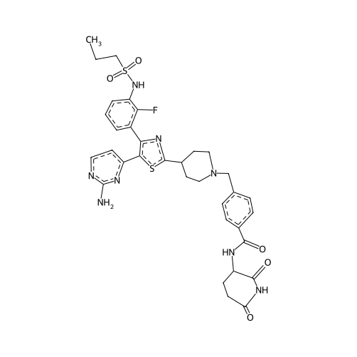 CCCS(=O)(=O)Nc1cccc(-c2nc(C3CCN(Cc4ccc(C(=O)NC5CCC(=O)NC5=O)cc4)CC3)sc2-c2ccnc(N)n2)c1F